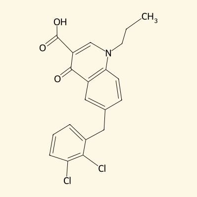 CCCn1cc(C(=O)O)c(=O)c2cc(Cc3cccc(Cl)c3Cl)ccc21